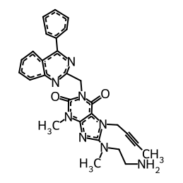 CC#CCn1c(N(C)CCN)nc2c1c(=O)n(Cc1nc(-c3ccccc3)c3ccccc3n1)c(=O)n2C